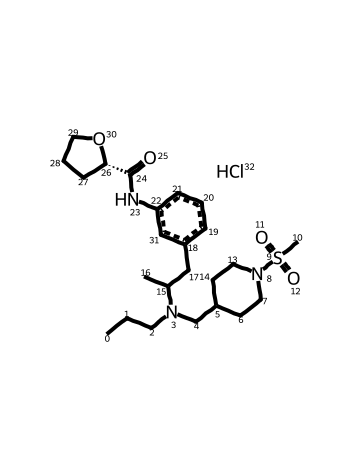 CCCN(CC1CCN(S(C)(=O)=O)CC1)C(C)Cc1cccc(NC(=O)[C@@H]2CCCO2)c1.Cl